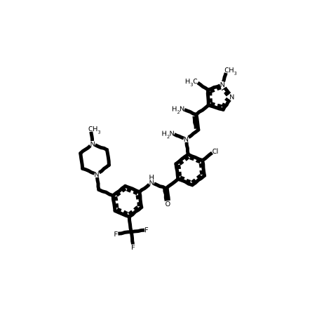 Cc1c(/C(N)=C/N(N)c2cc(C(=O)Nc3cc(CN4CCN(C)CC4)cc(C(F)(F)F)c3)ccc2Cl)cnn1C